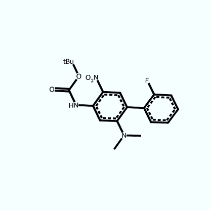 CN(C)c1cc(NC(=O)OC(C)(C)C)c([N+](=O)[O-])cc1-c1ccccc1F